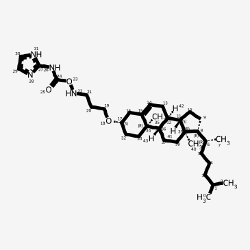 CC(C)CCC[C@@H](C)[C@H]1CC[C@H]2[C@@H]3CC=C4C[C@@H](OCCCNOC(=O)Nc5ncc[nH]5)CC[C@]4(C)[C@H]3CC[C@]12C